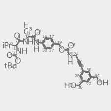 CC(C)[C@H](NC(=O)OC(C)(C)C)C(=O)N[C@@H](C)C(=O)Nc1ccc(COC(=O)NCC#Cc2cc(CO)cc(CO)c2)cc1